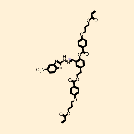 C=CC(=O)OCCCOc1ccc(C(=O)OCCc2ccc(OC(=O)c3ccc(OCCCOC(=O)C=C)cc3)c(/C=N/Nc3nc4cc([N+](=O)[O-])ccc4s3)c2)cc1